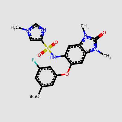 CC(C)COc1cc(F)cc(Oc2cc3c(cc2NS(=O)(=O)c2cn(C)cn2)n(C)c(=O)n3C)c1